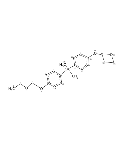 CCOCOc1ccc(C(C)(C)c2ccc(OC3CCO3)cc2)cc1